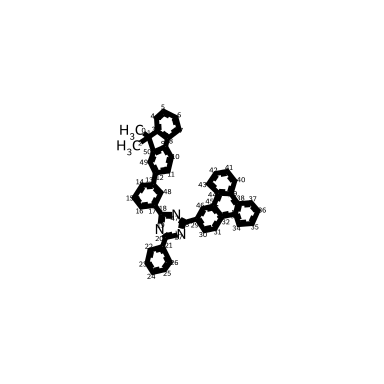 CC1(C)c2ccccc2-c2ccc(-c3cccc(-c4nc(-c5ccccc5)nc(-c5ccc6c7ccccc7c7ccccc7c6c5)n4)c3)cc21